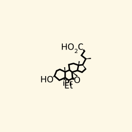 CC[C@H]1C(=O)[C@@]2(C)C3CC[C@H]([C@H](C)CCC(=O)O)[C@@]3(C)CCC2[C@@]2(C)CC[C@@H](O)C[C@@]12C(C)C